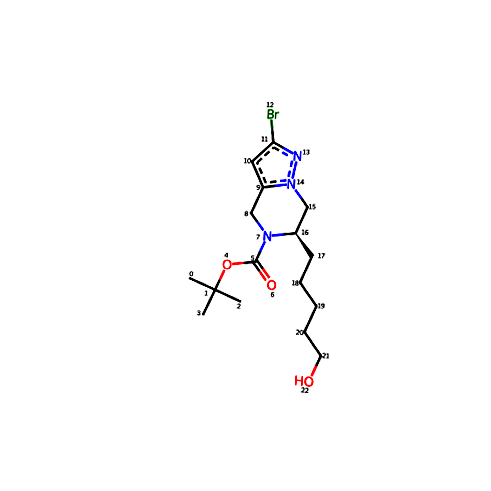 CC(C)(C)OC(=O)N1Cc2cc(Br)nn2C[C@H]1CCCCCO